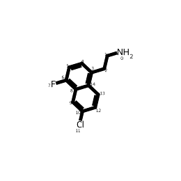 NCCc1ccc(F)c2cc(Cl)ccc12